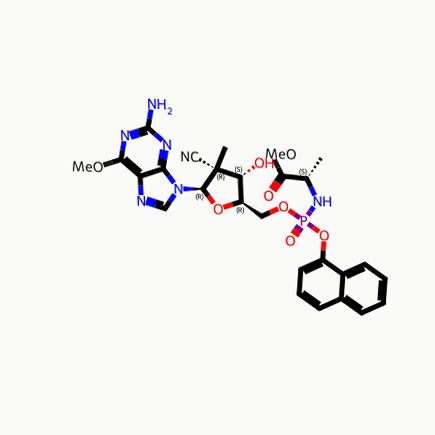 COC(=O)[C@H](C)NP(=O)(OC[C@H]1O[C@@H](n2cnc3c(OC)nc(N)nc32)[C@](C)(C#N)[C@@H]1O)Oc1cccc2ccccc12